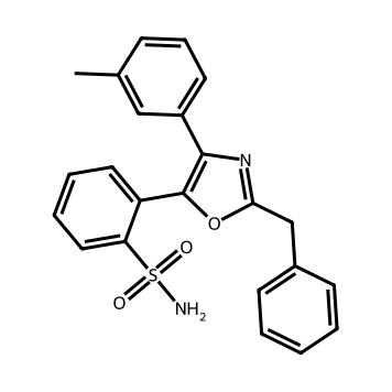 Cc1cccc(-c2nc(Cc3ccccc3)oc2-c2ccccc2S(N)(=O)=O)c1